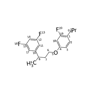 CC(C)c1ccc(OCCC(C)c2cc(F)cc(F)c2)cc1F